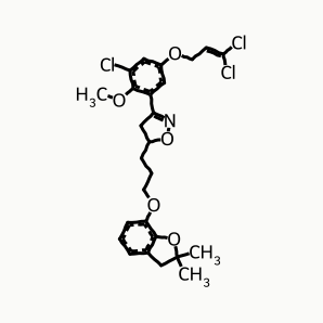 COc1c(Cl)cc(OCC=C(Cl)Cl)cc1C1=NOC(CCCOc2cccc3c2OC(C)(C)C3)C1